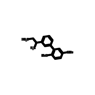 COc1ccc(OC)c(-c2cccc(C(N)CC(=O)O)c2)c1